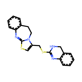 C1=C(CSC2=Nc3ccccc3CN2)N2CCc3ccccc3N=C2S1